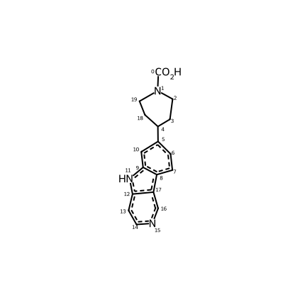 O=C(O)N1CCC(c2ccc3c(c2)[nH]c2ccncc23)CC1